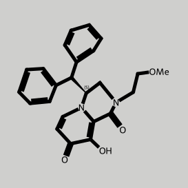 COCCN1C[C@H](C(c2ccccc2)c2ccccc2)n2ccc(=O)c(O)c2C1=O